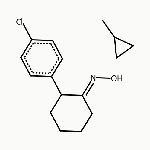 CC1CC1.ON=C1CCCCC1c1ccc(Cl)cc1